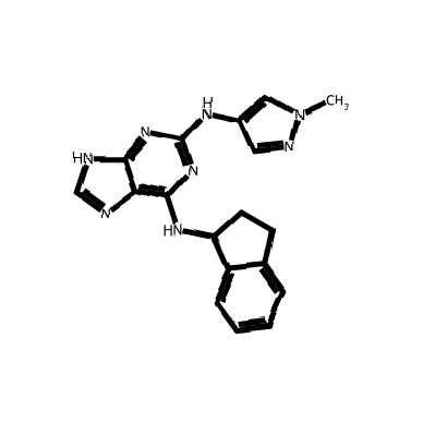 Cn1cc(Nc2nc(NC3CCc4ccccc43)c3nc[nH]c3n2)cn1